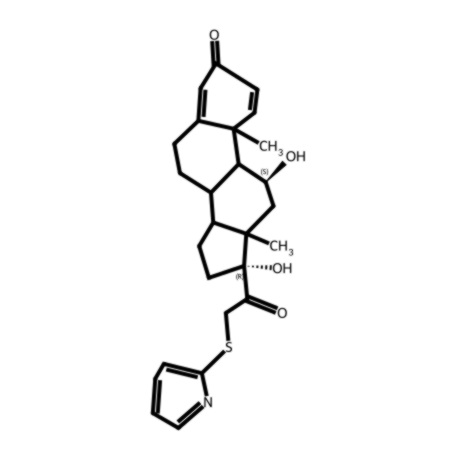 CC12C=CC(=O)C=C1CCC1C2[C@@H](O)CC2(C)C1CC[C@]2(O)C(=O)CSc1ccccn1